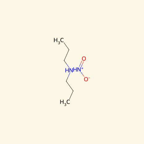 CCCNCCC.O=[NH+][O-]